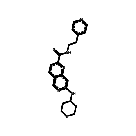 O=C(NCCc1ccncc1)c1ccc2cnc(NC3CCOCC3)cc2n1